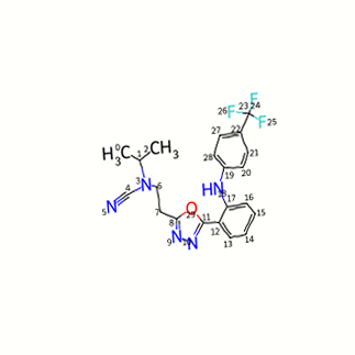 CC(C)N(C#N)CCc1nnc(-c2ccccc2Nc2ccc(C(F)(F)F)cc2)o1